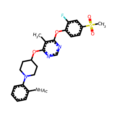 CC(=O)Nc1ccccc1N1CCC(Oc2ncnc(Oc3ccc(S(C)(=O)=O)cc3F)c2C)CC1